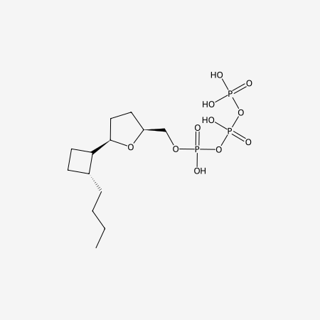 CCCC[C@@H]1CCC1[C@H]1CC[C@@H](COP(=O)(O)OP(=O)(O)OP(=O)(O)O)O1